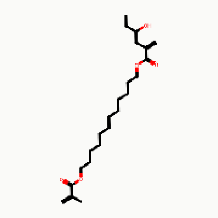 C=C(C)C(=O)OCCCCCCCCCCCCOC(=O)C(=C)CC(O)CC